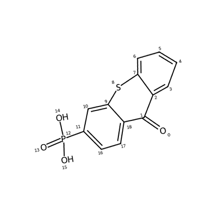 O=c1c2ccccc2sc2cc(P(=O)(O)O)ccc12